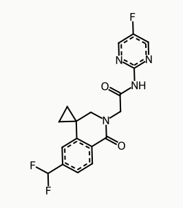 O=C(CN1CC2(CC2)c2cc(C(F)F)ccc2C1=O)Nc1ncc(F)cn1